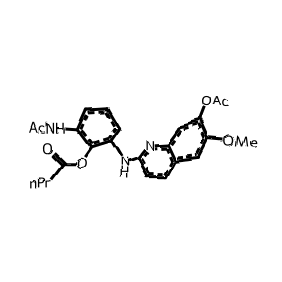 CCCC(=O)Oc1c(NC(C)=O)cccc1Nc1ccc2cc(OC)c(OC(C)=O)cc2n1